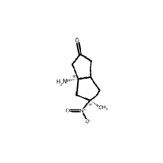 C[C@@]1([N+](=O)[O-])CC2CC(=O)C[C@]2(N)C1